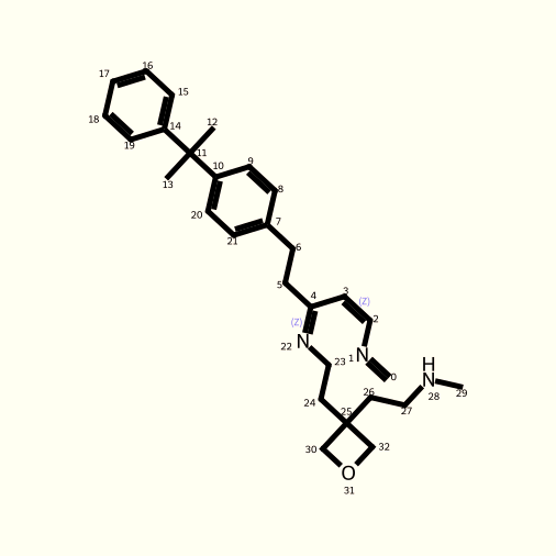 C=N/C=C\C(CCc1ccc(C(C)(C)c2ccccc2)cc1)=N/CCC1(CCNC)COC1